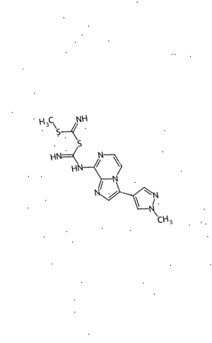 CSC(=N)SC(=N)Nc1nccn2c(-c3cnn(C)c3)cnc12